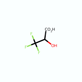 O=C(O)C(O)C(F)(F)F